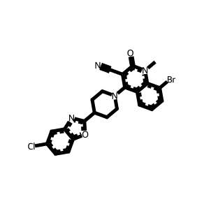 Cn1c(=O)c(C#N)c(N2CCC(c3nc4cc(Cl)ccc4o3)CC2)c2cccc(Br)c21